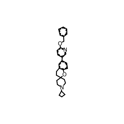 c1ccc(COc2ccc(-c3ccc4c(c3)CCC3(CCN(C5CCC5)CC3)O4)cn2)cc1